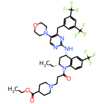 CCOC(=O)C1CCN(CCC(=O)N2c3ccc(C(F)(F)F)cc3[C@@H](Nc3ncc(N4CCOCC4)c(Cc4cc(C(F)(F)F)cc(C(F)(F)F)c4)n3)C[C@H]2CC)CC1